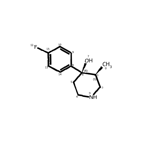 C[C@H]1CNCC[C@]1(O)c1ccc(F)cc1